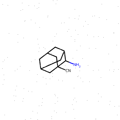 N#CC12CC3CC(CC(C3)C1N)C2